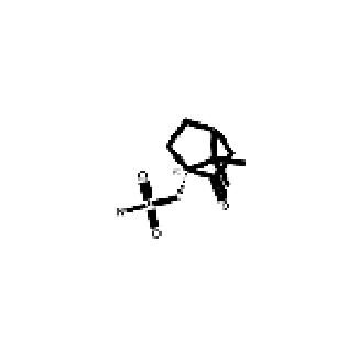 CC1(C)C2CC[C@]1(CS([N])(=O)=O)C(=O)C2